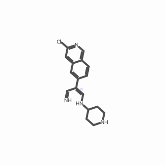 N=C/C(=C\NC1CCNCC1)c1ccc2cnc(Cl)cc2c1